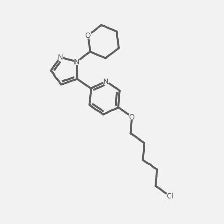 ClCCCCCOc1ccc(-c2ccnn2C2CCCCO2)nc1